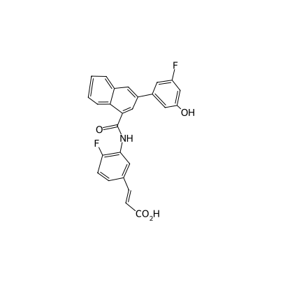 O=C(O)/C=C/c1ccc(F)c(NC(=O)c2cc(-c3cc(O)cc(F)c3)cc3ccccc23)c1